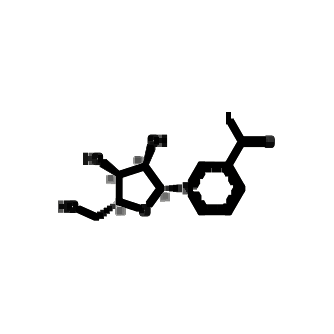 O=C(I)c1ccc[n+]([C@@H]2O[C@H](CO)[C@@H](O)[C@H]2O)c1